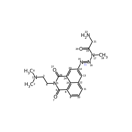 CN(C)CCN1C(=O)c2cccc3cc(/N=N/N(C)C(=O)CN)cc(c23)C1=O